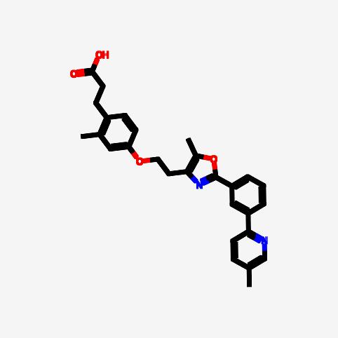 Cc1ccc(-c2cccc(-c3nc(CCOc4ccc(CCC(=O)O)c(C)c4)c(C)o3)c2)nc1